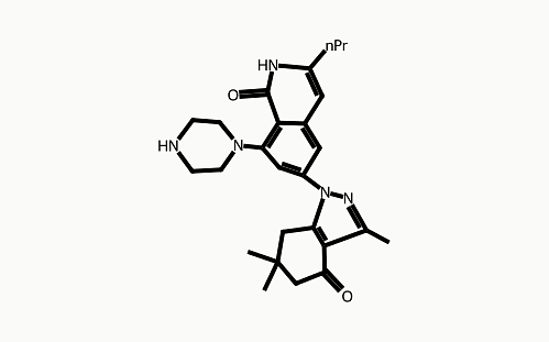 CCCc1cc2cc(-n3nc(C)c4c3CC(C)(C)CC4=O)cc(N3CCNCC3)c2c(=O)[nH]1